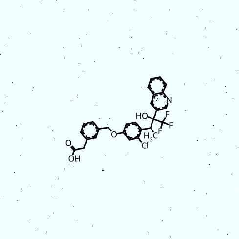 C[C@@H](c1ccc(OCc2cccc(CC(=O)O)c2)cc1Cl)[C@](O)(c1cnc2ccccc2c1)C(F)(F)F